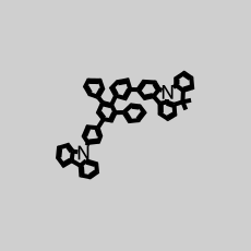 CC1(C)c2ccccc2-n2c3ccc(-c4cccc(-c5c(-c6ccccc6)cc(-c6ccc(-n7c8ccccc8c8ccccc87)cc6)cc5-c5ccccc5)c4)cc3c3cccc1c32